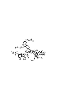 CCc1nc2ccc(OC)cc2c2c1O[C@]1(CC2)C[C@H]2C(=O)N[C@]3(C(=O)NS(=O)(=O)C4(C)CC4)C[C@H]3C=CCCCCC[C@H](NC(=O)c3cc(C)cs3)C(=O)N2C1